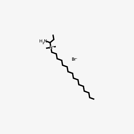 CCCCCCCCCCCCCCCC[N+](C)(C)C(N)CC.[Br-]